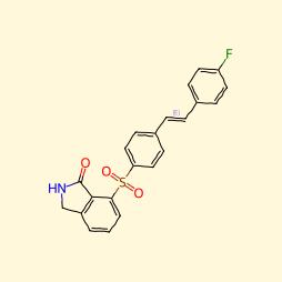 O=C1NCc2cccc(S(=O)(=O)c3ccc(/C=C/c4ccc(F)cc4)cc3)c21